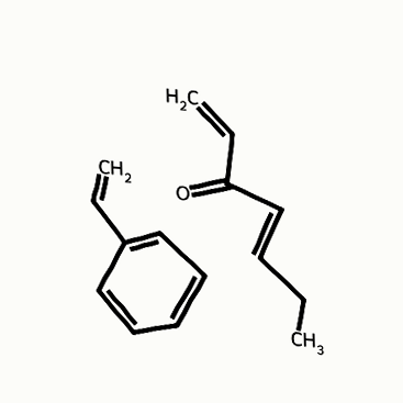 C=CC(=O)C=CCC.C=Cc1ccccc1